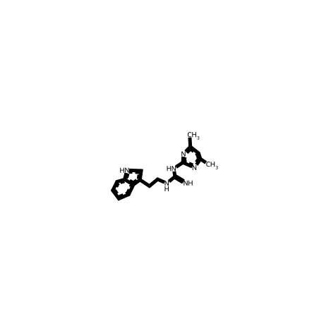 Cc1cc(C)nc(NC(=N)NCCc2c[nH]c3ccccc23)n1